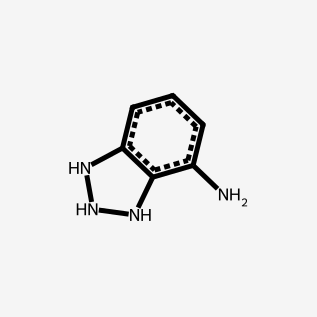 Nc1cccc2c1NNN2